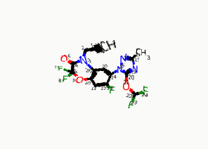 C#CCN1C(=O)C(F)(F)Oc2cc(F)c(-n3nc(C)nc3OC(F)F)cc21